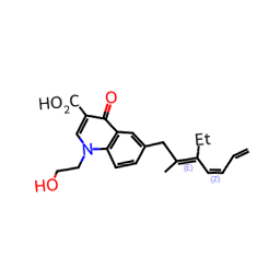 C=C/C=C\C(CC)=C(/C)Cc1ccc2c(c1)c(=O)c(C(=O)O)cn2CCO